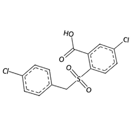 O=C(O)c1cc(Cl)ccc1S(=O)(=O)Cc1ccc(Cl)cc1